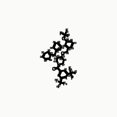 O=C(c1cc(C(F)(F)F)cc(C(F)(F)F)c1)N1CC[C@@H](OCc2cccc(OC(F)(F)F)c2)[C@@H](C(c2ccccc2)c2ccccc2)C1